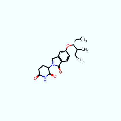 CCC(C)[C@@H](CC)Oc1ccc2c(c1)CN(C1CCC(=O)NC1=O)C2=O